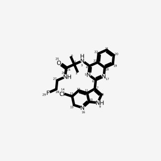 CC(C)(Nc1nc(-c2c[nH]c3c2=CC(Cl)CN=3)nc2ccccc12)C(=O)NCCF